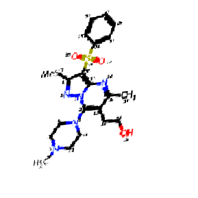 CSc1nn2c(N3CCN(C)CC3)c(CCO)c(C)nc2c1S(=O)(=O)c1ccccc1